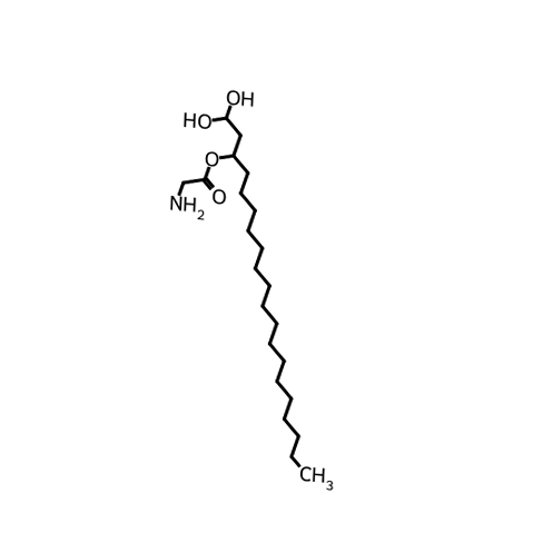 CCCCCCCCCCCCCCCCCC(CC(O)O)OC(=O)CN